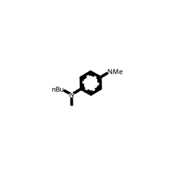 CCCCN(C)c1ccc(NC)cc1